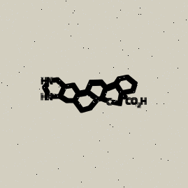 O=C(O)C12CCCCC1=C1C=CC3=C4CC5CNCNC5CC4CCC3C1CC2